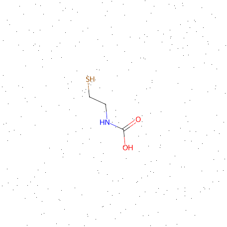 O=C(O)NCCS